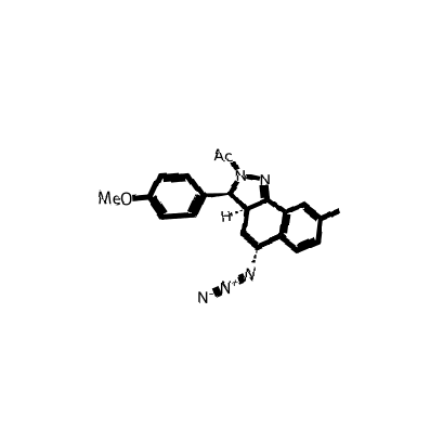 COc1ccc([C@@H]2[C@@H]3C[C@@H](N=[N+]=[N-])c4ccc(C)cc4C3=NN2C(C)=O)cc1